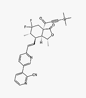 C[C@H]1OC(=O)[C@]2(C(=O)C#C[Si](C)(C)C)CC(F)(F)[C@@H](C)[C@H](C=Cc3ccc(-c4cccnc4C#N)cn3)[C@H]12